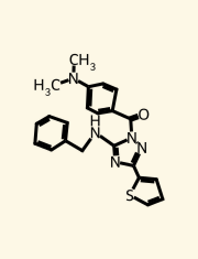 CN(C)c1ccc(C(=O)n2nc(-c3cccs3)nc2NCc2ccccc2)cc1